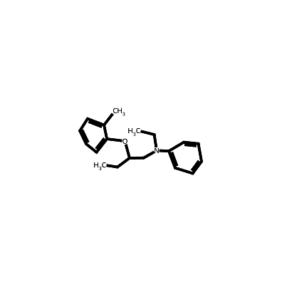 CCC(CN(CC)c1ccccc1)Oc1ccccc1C